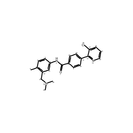 Cc1ccc(NC(=O)c2ccc(-c3ncccc3Cl)cc2)cc1CN(C)C